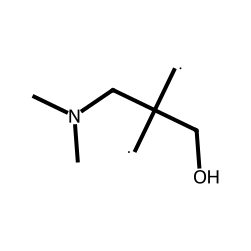 [CH2]C([CH2])(CO)CN(C)C